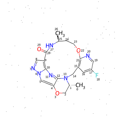 C[C@@H]1COc2cn3ncc4c3nc2N1Cc1cc(F)cnc1OCC[C@H](C)NC4=O